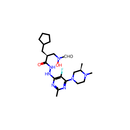 Cc1nc(NNC(=O)[C@@H](CC2CCCC2)CN(O)C=O)c(F)c(N2CCN(C)[C@H](C)C2)n1